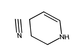 C#N.C1=CNCCC1